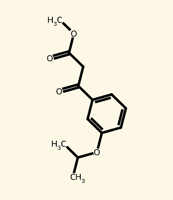 COC(=O)CC(=O)c1cccc(OC(C)C)c1